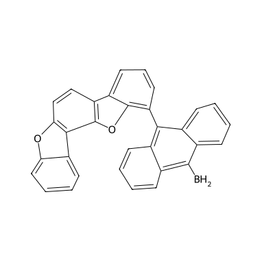 Bc1c2ccccc2c(-c2cccc3c2oc2c3ccc3oc4ccccc4c32)c2ccccc12